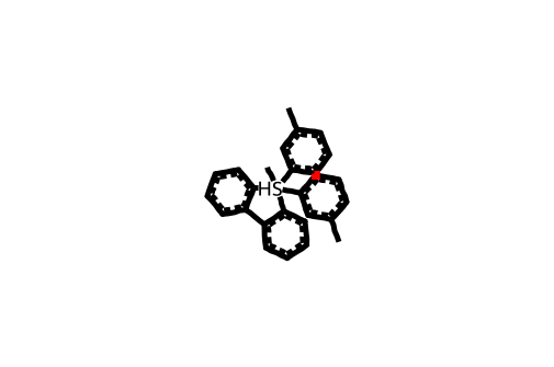 Cc1cccc([SH]2(C)(c3cccc(C)c3)c3ccccc3-c3ccccc32)c1